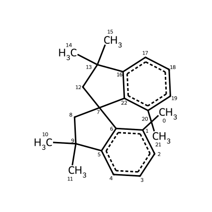 Cc1cccc2c1C1(CC2(C)C)CC(C)(C)c2cccc(C)c21